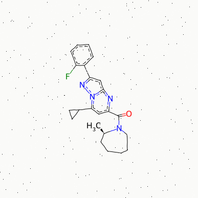 C[C@@H]1CCCCCN1C(=O)c1cc(C2CC2)n2nc(-c3ccccc3F)cc2n1